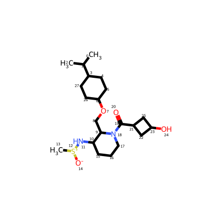 CC(C)C1CCC(OCC2C(N[S+](C)[O-])CCCN2C(=O)C2CC(O)C2)CC1